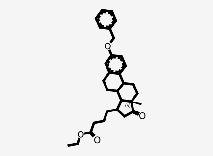 CCOC(=O)CCCC1CC(=O)[C@@]2(C)CCC3c4ccc(OCc5ccccc5)cc4CCC3C12